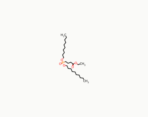 CCCCCCCCCCOP(=O)(CCCC(=O)OCC)OCCCCCCCCCC